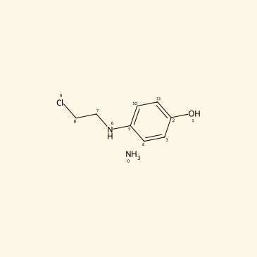 N.Oc1ccc(NCCCl)cc1